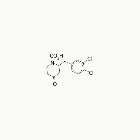 O=C1CCN(C(=O)O)C(Cc2ccc(Cl)c(Cl)c2)C1